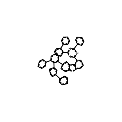 c1ccc(-c2cccc(-c3c(-c4ccccc4)cccc3-c3ccc4sc5cccc(-c6nc(-c7ccccc7)nc(-c7ccccc7-c7ccccc7)n6)c5c4c3)c2)cc1